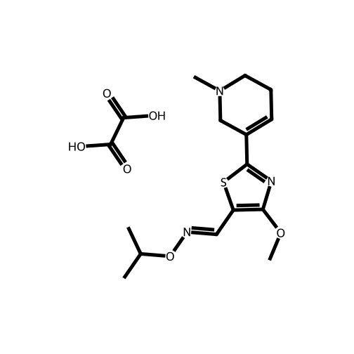 COc1nc(C2=CCCN(C)C2)sc1/C=N/OC(C)C.O=C(O)C(=O)O